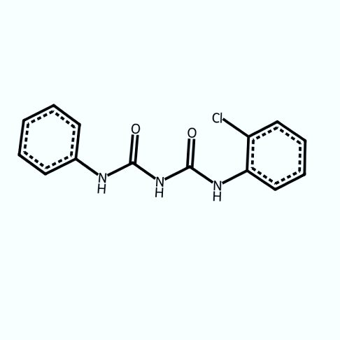 O=C(NC(=O)Nc1ccccc1Cl)Nc1ccccc1